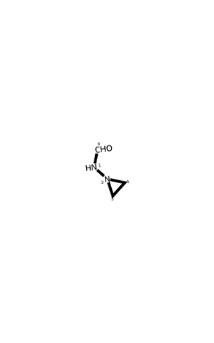 O=CNN1CC1